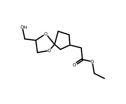 CCOC(=O)CC1CCC2(C1)OCC(CO)O2